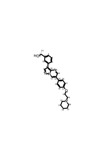 C[C@@H](O)c1cccc(-c2cnn3cc(-c4ccc(OCCN5CCCCC5)cc4)cnc23)c1